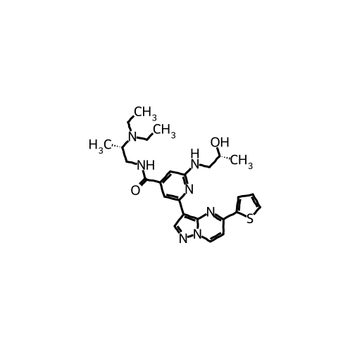 CCN(CC)[C@@H](C)CNC(=O)c1cc(NC[C@@H](C)O)nc(-c2cnn3ccc(-c4cccs4)nc23)c1